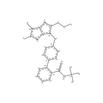 CCCc1nc2c(nc(C)n2C)n1Cc1ccc(-c2ccccc2C(=O)OC(C)(C)C)cc1